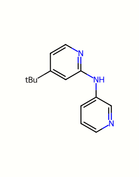 CC(C)(C)c1ccnc(Nc2cccnc2)c1